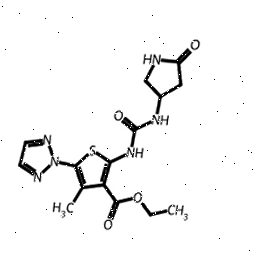 CCOC(=O)c1c(NC(=O)NC2CNC(=O)C2)sc(-n2nccn2)c1C